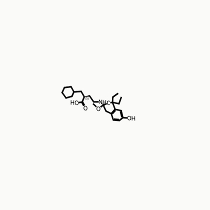 CCC1(CC)C[C@](NCC[C@H](CC2CCCCC2)C(=O)O)(OC)Cc2ccc(O)cc21